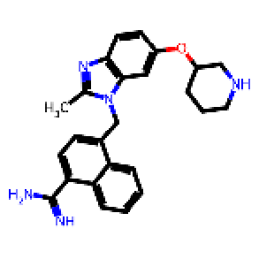 Cc1nc2ccc(OC3CCCNC3)cc2n1Cc1ccc(C(=N)N)c2ccccc12